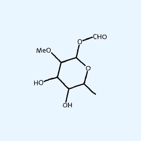 COC1C(OC=O)OC(C)C(O)C1O